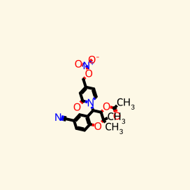 CC(=O)OC1C(n2ccc(CO[N+](=O)[O-])cc2=O)c2cc(C#N)ccc2OC1(C)C